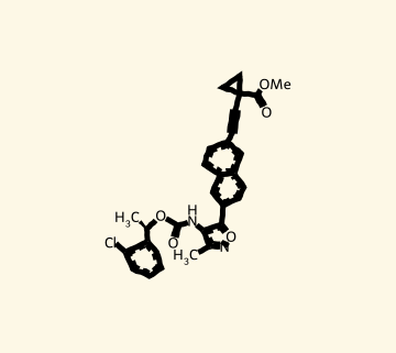 COC(=O)C1(C#Cc2ccc3cc(-c4onc(C)c4NC(=O)O[C@H](C)c4ccccc4Cl)ccc3c2)CC1